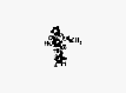 C=CCOC[C@H]1[C@@H]2CCCCN2C(=O)c2c(O)c(=O)c(C(=O)NCc3ccc(F)c(Cl)c3F)cn21